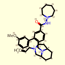 C=CCN1CCC2CCCC(C1)N2Cc1ccc(C(=O)NN2CCCCCC2)cc1-c1cccc(OC)c1